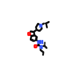 CCCN(C(=O)Nc1ccc2occ(C3CCN(CC(C)C)CC3)c2c1)C(C)C